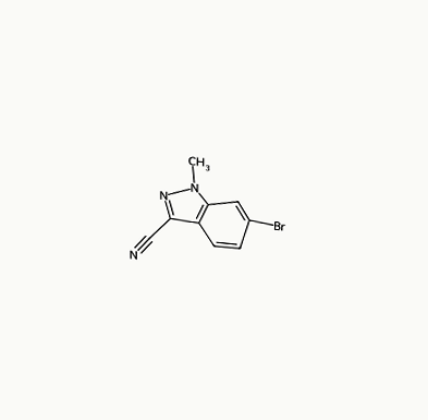 Cn1nc(C#N)c2ccc(Br)cc21